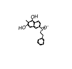 Cc1c(O)cc2cc([S+]([O-])CCc3ccccc3)ccc2c1O